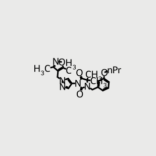 CCCOc1cccc(CN2C(=O)N(c3cnn(Cc4c(C)noc4C)c3)C(=O)C2(C)C)c1